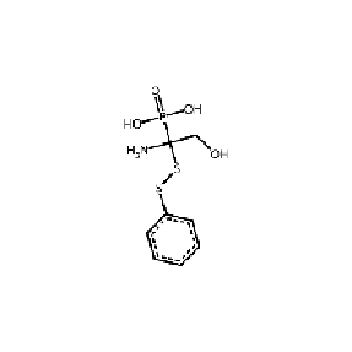 NC(CO)(SSc1ccccc1)P(=O)(O)O